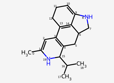 CC1=CC2=C(CC3CNC4=CCCC2=C43)C(C(C)C)N1